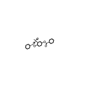 CS(=O)(=O)c1cc(OC(=O)c2ccccc2)ccc1OCc1ccccc1